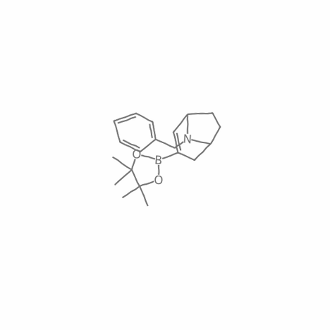 CC1(C)OB(C2=CC3CCC(C2)N3Cc2ccccc2)OC1(C)C